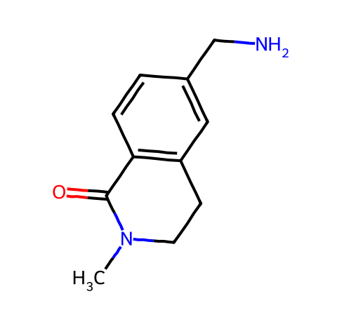 CN1CCc2cc(CN)ccc2C1=O